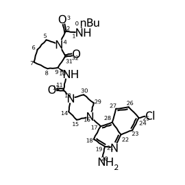 CCCCNC(=O)N1CCCC[C@H](NC(=O)N2CCN(c3cc(N)nc4cc(Cl)ccc34)CC2)C1=O